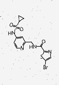 O=C(NCc1cc(NS(=O)(=O)C2CC2)ccn1)c1ncc(Br)s1